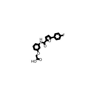 O=C(O)COc1cccc(NC(=O)c2ccc(-c3ccc(F)cc3)o2)c1